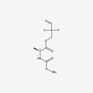 C=CC(F)(F)COC(=O)[C@H](C)NC(=O)OC(C)(C)C